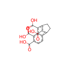 O=C(O)c1ccc2c3c(C(=O)O)c(c(C(=O)O)c2c1C(=O)O)CC3